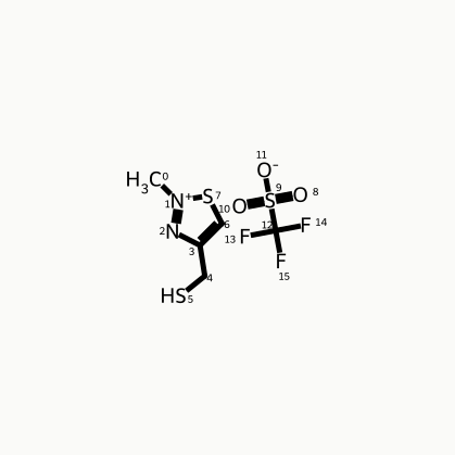 C[n+]1nc(CS)cs1.O=S(=O)([O-])C(F)(F)F